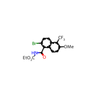 CCOC(=O)NC(=O)c1c(Br)ccc2c(C(F)(F)F)c(OC)ccc12